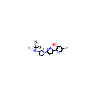 CC(C)(C)N[C@@H]1CCN(c2ccc(-c3ncc(Br)cc3O)nn2)C1